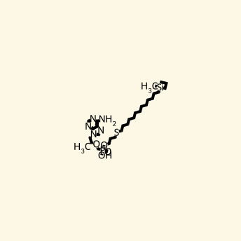 C[C@H](Cn1cnc2c(N)ncnc21)OCP(=O)(O)OCCCSCCCCCCCCCCCCC[Si]1(C)CCC1